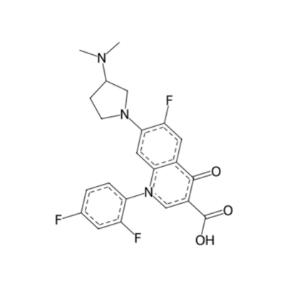 CN(C)C1CCN(c2cc3c(cc2F)c(=O)c(C(=O)O)cn3-c2ccc(F)cc2F)C1